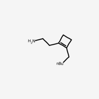 CCCCCC1=C(CCN)CC1